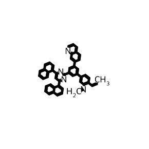 C=Nc1cc(-c2cc(-c3ccc4cccnc4c3)cc(-c3nc(-c4cccc5ccccc45)cc(-c4cccc5ccccc45)n3)c2)ccc1/C=C\C